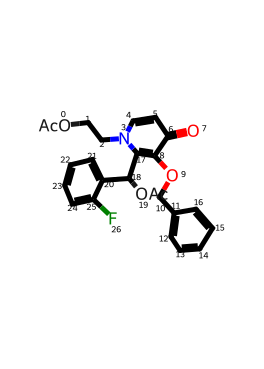 CC(=O)OCCn1ccc(=O)c(OCc2ccccc2)c1C(OC(C)=O)c1ccccc1F